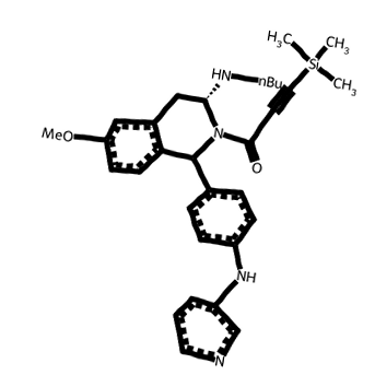 CCCCN[C@H]1Cc2cc(OC)ccc2C(c2ccc(Nc3cccnc3)cc2)N1C(=O)C#C[Si](C)(C)C